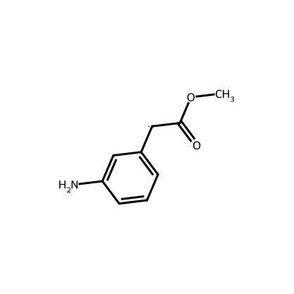 COC(=O)[CH]c1cccc(N)c1